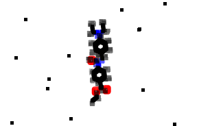 CCOC(=O)c1ccc([N+]([O-])=Cc2ccc(N(CC)CC)cc2)cc1